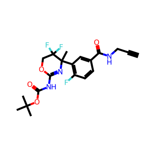 C#CCNC(=O)c1ccc(F)c(C2(C)N=C(NC(=O)OC(C)(C)C)OCC2(F)F)c1